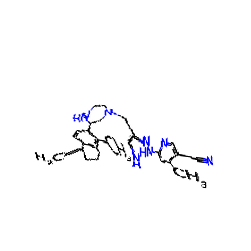 C=C1CCc2c1ccc([C@@H]1CN(C/C(C=N)=N/Nc3cc(C)c(C#N)cn3)CCN1)c2C